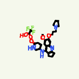 COc1cc2c(NC3CCC(=O)NC3)c3c(nc2cc1OCCCN1CCCC1)CCC3.O=C(O)C(F)(F)F